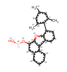 Cc1cc(C)c(-c2cccc3c2oc2c(OBO)cc4ccccc4c23)c(C)c1